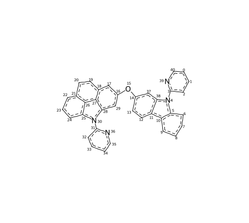 c1ccc(-n2c3ccccc3c3ccc(Oc4cc5ccc6cccc7c6c5c(c4)n7-c4ccccn4)cc32)nc1